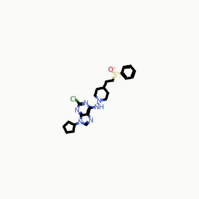 [O-][S+](CCC1CCN(Nc2nc(Cl)nc3c2ncn3C2CCCC2)CC1)c1ccccc1